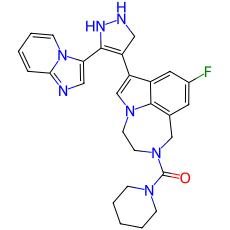 O=C(N1CCCCC1)N1CCn2cc(C3=C(c4cnc5ccccn45)NNC3)c3cc(F)cc(c32)C1